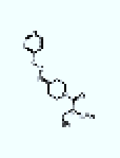 CN[C@@H](CC(C)C)C(=O)N1CCC(=NOCc2ccncc2)CC1